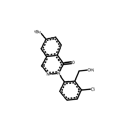 CC(C)(C)c1ccc2c(=O)n(-c3cccc(Cl)c3CO)ncc2c1